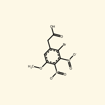 COc1cc(CC(=O)O)c(Br)c([N+](=O)[O-])c1[N+](=O)[O-]